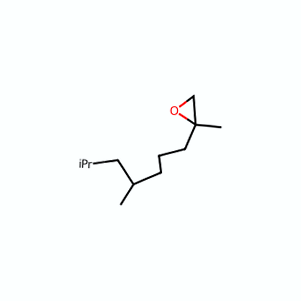 CC(C)CC(C)CCCC1(C)CO1